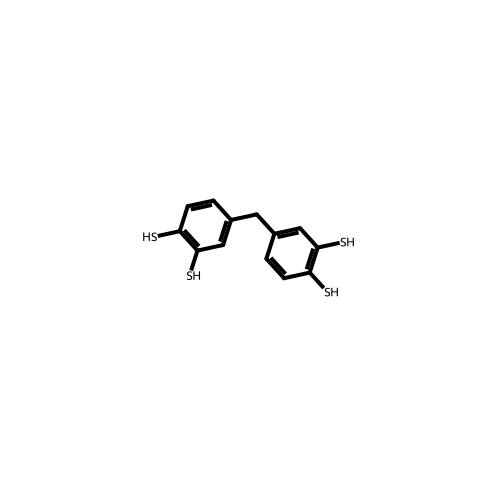 Sc1ccc(Cc2ccc(S)c(S)c2)cc1S